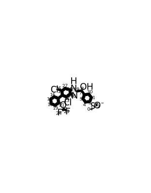 C[S+]([O-])c1ccc(C(O)c2nc3c(Cl)c(-c4ccccc4OC(F)F)c(Cl)cc3[nH]2)cc1